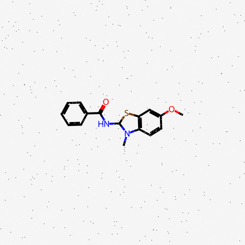 COc1ccc2c(c1)SC(NC(=O)c1ccccc1)N2C